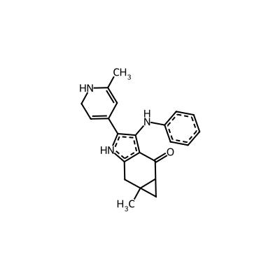 CC1=CC(c2[nH]c3c(c2Nc2ccccc2)C(=O)C2CC2(C)C3)=CCN1